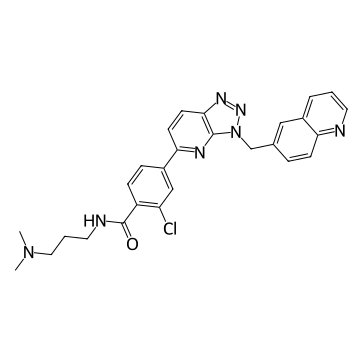 CN(C)CCCNC(=O)c1ccc(-c2ccc3nnn(Cc4ccc5ncccc5c4)c3n2)cc1Cl